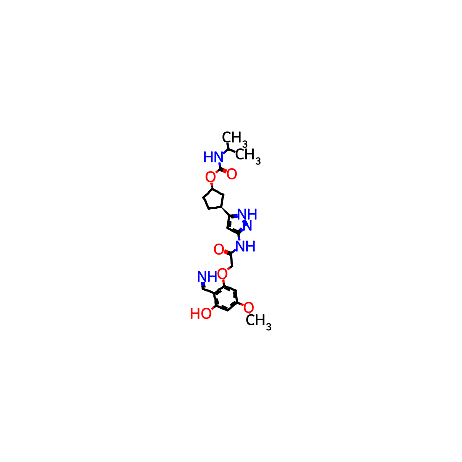 COc1cc(O)c(C=N)c(OCC(=O)Nc2cc([C@H]3CC[C@@H](OC(=O)NC(C)C)C3)[nH]n2)c1